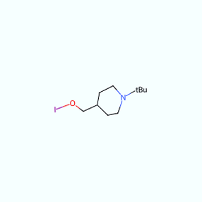 CC(C)(C)N1CCC(COI)CC1